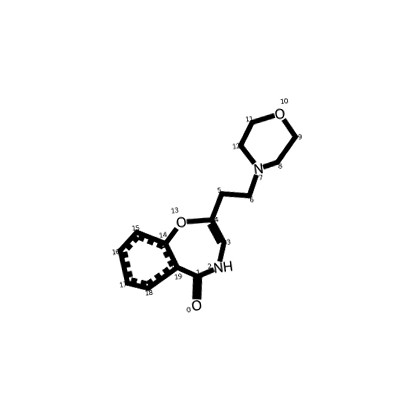 O=C1NC=C(CCN2CCOCC2)Oc2ccccc21